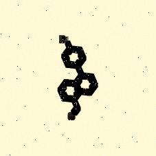 O=Cc1cccc2c(-c3ccc(Br)cc3)cccc12